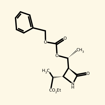 CCOC(=O)C(C)[C@H]1NC(=O)[C@@H]1[C@@H](C)OC(=O)OCc1ccccc1